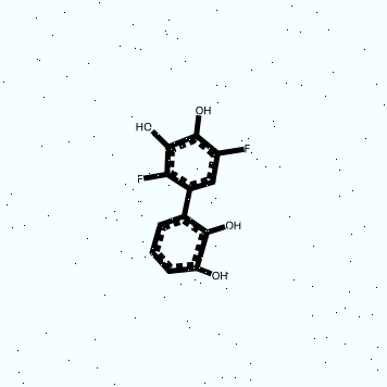 Oc1cccc(-c2cc(F)c(O)c(O)c2F)c1O